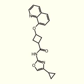 O=C(Nc1nc(C2CC2)co1)C1CC(Oc2cccc3cccnc23)C1